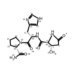 C[C@H]1CC(=O)N[C@@H]1C(=O)N[C@@H](Cc1c[nH]cn1)C(=O)N1CCC[C@H]1C(N)=O